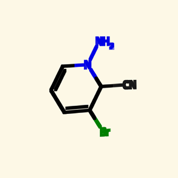 N#CC1C(Br)=CC=CN1N